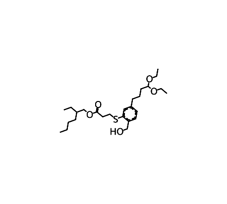 CCCCC(CC)COC(=O)CCSc1cc(CCCC(OCC)OCC)ccc1CO